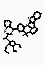 C=Cc1oc(C(=C)c2nc(-c3ccc4c(c3)C(C)(C)c3cccc5c6c7ccccc7oc6n-4c35)c3ccccc3n2)c(/C=C\C)c1C=C